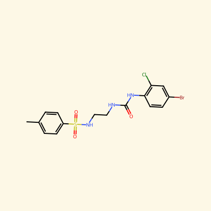 Cc1ccc(S(=O)(=O)NCCNC(=O)Nc2ccc(Br)cc2Cl)cc1